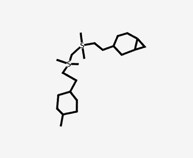 CC1CCC(CCS(C)(C)CS(C)(C)CCC2CCC3CC3C2)CC1